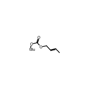 CC=CCOC(=O)OC(C)(C)C